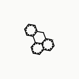 [c]1ccc2cccc3c2c1Cc1ccccc1-3